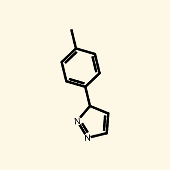 Cc1ccc([C]2C=CN=N2)cc1